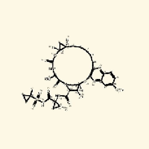 CC[C@@H]1[C@@H]2CN(C(=O)C(C(C)(C)C)NC(=O)O[C@@H]3C[C@H]3CCCCCc3nc4ccc(OC)cc4nc3O2)[C@@H]1C(=O)N[C@]1(C(=O)NS(=O)(=O)C2(C)CC2)C[C@H]1C